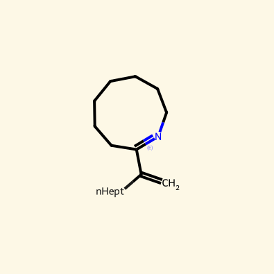 C=C(CCCCCCC)/C1=N/CCCCCCC1